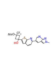 COC1(C(F)(F)F)CC(O)(c2cc3ccc(-c4cnc5nn(C)cc5c4)nc3s2)C1